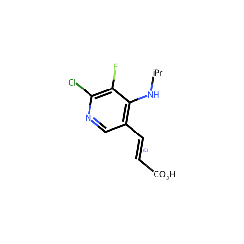 CC(C)Nc1c(/C=C/C(=O)O)cnc(Cl)c1F